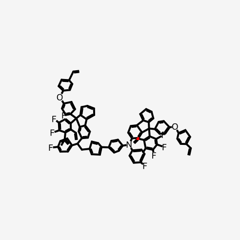 C=Cc1ccc(Oc2ccc(C3(c4c(F)c(F)c(F)c(C)c4C=C)c4ccccc4-c4ccc(N(c5ccc(F)cc5)c5ccc(-c6ccc(CC(c7ccc(F)cc7)c7ccc8c(c7)C(c7ccc(Oc9ccc(C=C)cc9)cc7)(c7c(F)c(F)c(F)c(C(=C)C)c7C=C)c7ccccc7-8)cc6)cc5)cc43)cc2)cc1